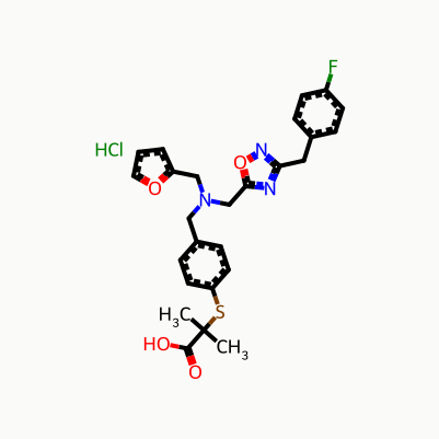 CC(C)(Sc1ccc(CN(Cc2ccco2)Cc2nc(Cc3ccc(F)cc3)no2)cc1)C(=O)O.Cl